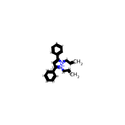 C=CCn1c(-c2ccccc2)cc(-c2ccccc2)[n+]1CC=C